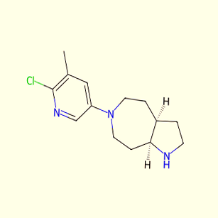 Cc1cc(N2CC[C@H]3CCN[C@H]3CC2)cnc1Cl